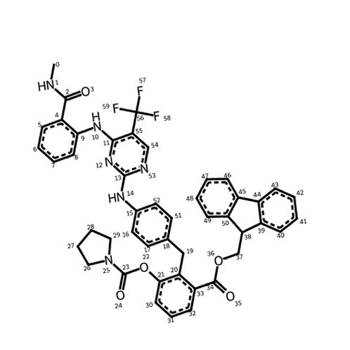 CNC(=O)c1ccccc1Nc1nc(Nc2ccc(Cc3c(OC(=O)N4CCCC4)cccc3C(=O)OCC3c4ccccc4-c4ccccc43)cc2)ncc1C(F)(F)F